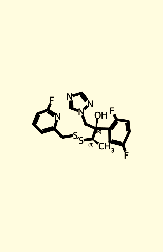 C[C@@H](SSCc1cccc(F)n1)[C@](O)(Cn1cncn1)c1cc(F)ccc1F